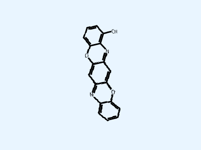 N#Cc1cccc2c1N=c1cc3c(cc1O2)=Nc1ccccc1O3